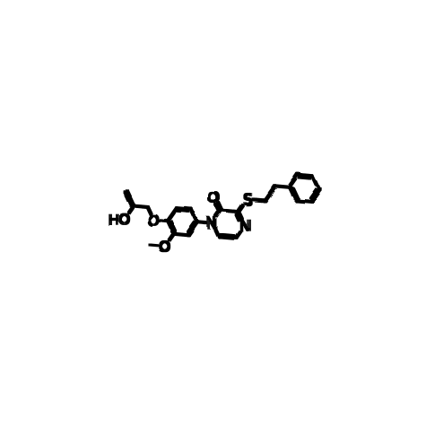 C=C(O)COc1ccc(-n2ccnc(SCCc3ccccc3)c2=O)cc1OC